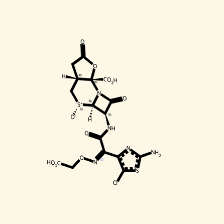 Nc1nc(/C(=N/OCC(=O)O)C(=O)N[C@@H]2C(=O)N3[C@@H]2[S@+]([O-])C[C@@H]2CC(=O)O[C@@]23C(=O)O)c(Cl)s1